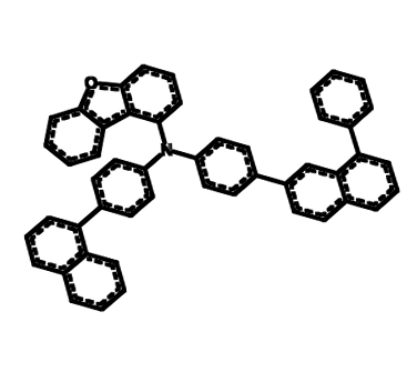 c1ccc(-c2cccc3ccc(-c4ccc(N(c5ccc(-c6cccc7ccccc67)cc5)c5cccc6oc7ccccc7c56)cc4)cc23)cc1